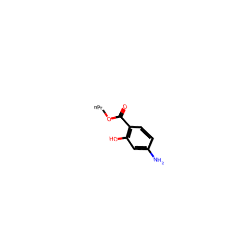 CCCOC(=O)c1ccc(N)cc1O